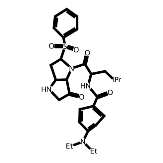 CCN(CC)c1ccc(C(=O)NC(CC(C)C)C(=O)N2C3C(=O)CNC3CC2S(=O)(=O)c2ccccc2)cc1